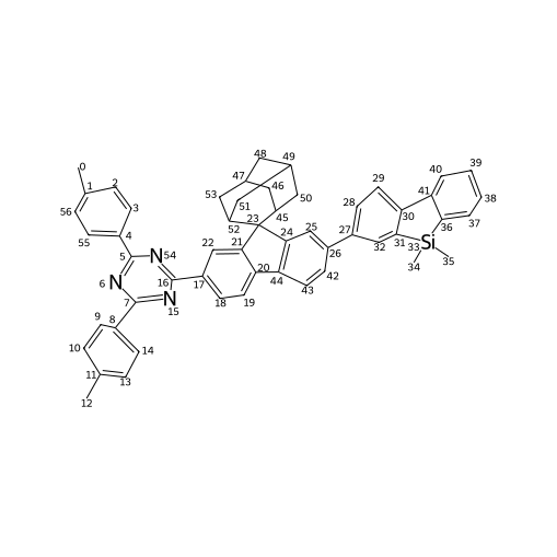 Cc1ccc(-c2nc(-c3ccc(C)cc3)nc(-c3ccc4c(c3)C3(c5cc(-c6ccc7c(c6)[Si](C)(C)c6ccccc6-7)ccc5-4)C4CC5CC(C4)CC3C5)n2)cc1